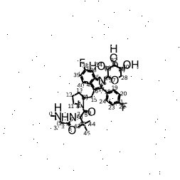 CN[C@@H](C)C(=O)N[C@H](C(=O)N1CCC[C@H]1Cc1c(-c2ccc(F)cc2)n(C2OC[C@@H](O)[C@H](O)[C@H]2O)c2cc(F)ccc12)C(C)(C)C